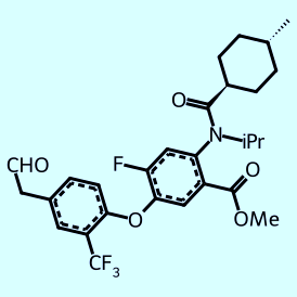 COC(=O)c1cc(Oc2ccc(CC=O)cc2C(F)(F)F)c(F)cc1N(C(=O)[C@H]1CC[C@H](C)CC1)C(C)C